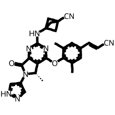 Cc1cc(/C=C/C#N)cc(C)c1Oc1nc(NC23CC(C#N)(C2)C3)nc2c1[C@H](C)N(c1cn[nH]c1)C2=O